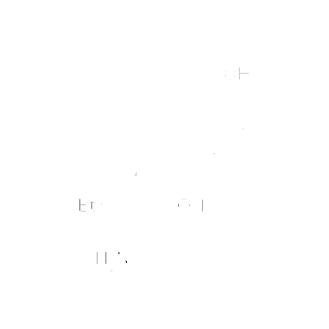 CCC([CH]N)CC(O)c1ccc(O)cc1